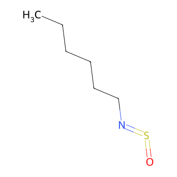 CCCCCCN=S=O